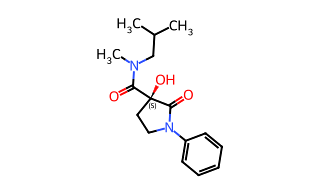 CC(C)CN(C)C(=O)[C@@]1(O)CCN(c2ccccc2)C1=O